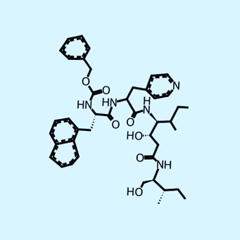 CCC(C)[C@H](NC(=O)C(Cc1ccncc1)NC(=O)[C@H](Cc1cccc2ccccc12)NC(=O)OCc1ccccc1)[C@@H](O)CC(=O)N[C@H](CO)[C@@H](C)CC